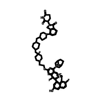 C#Cc1c(F)ccc2cc(O)cc(-c3ncc4c(N5CC6CCC(C5)N6)nc(OCCN5CCC(F)(CC6CCN(CC7CCN(c8cccc9c8CN(C8CCC(=O)NC8=O)C9=O)CC7)CC6)CC5)nc4c3F)c12